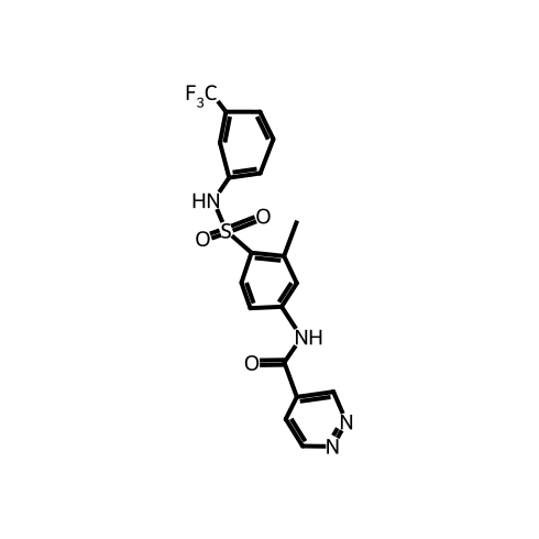 Cc1cc(NC(=O)c2ccnnc2)ccc1S(=O)(=O)Nc1cccc(C(F)(F)F)c1